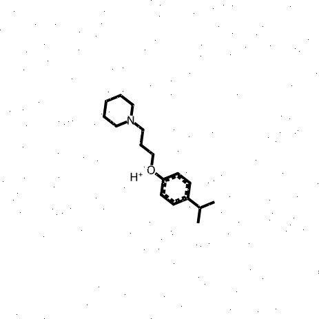 CC(C)c1ccc(OCCCN2CCCCC2)cc1.[H+]